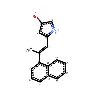 N#CC(=Cc1cc(Br)c[nH]1)c1cccc2ccccc12